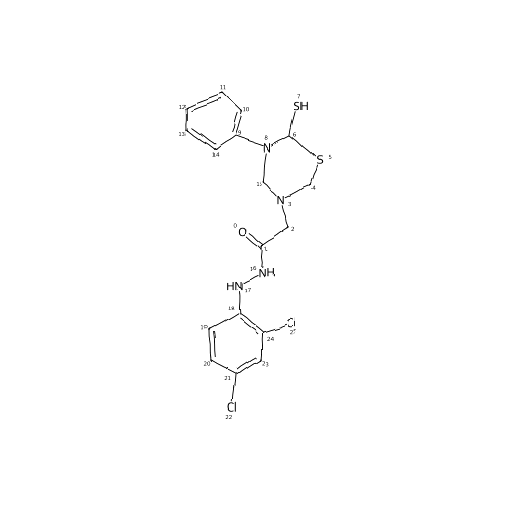 O=C(CN1CSC(S)N(c2ccccc2)C1)NNc1ccc(Cl)cc1Cl